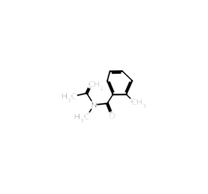 C=C(C)N(C)C(=O)c1ccccc1C